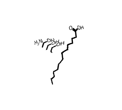 CCCCCCCCCCCCCC(=O)O.CCO.CCO.CCO.N